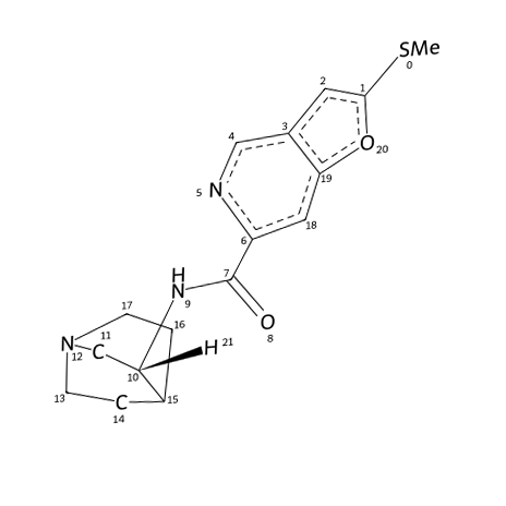 CSc1cc2cnc(C(=O)N[C@H]3CN4CCC3CC4)cc2o1